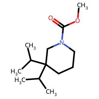 COC(=O)N1CCCC(C(C)C)(C(C)C)C1